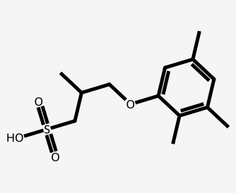 Cc1cc(C)c(C)c(OCC(C)CS(=O)(=O)O)c1